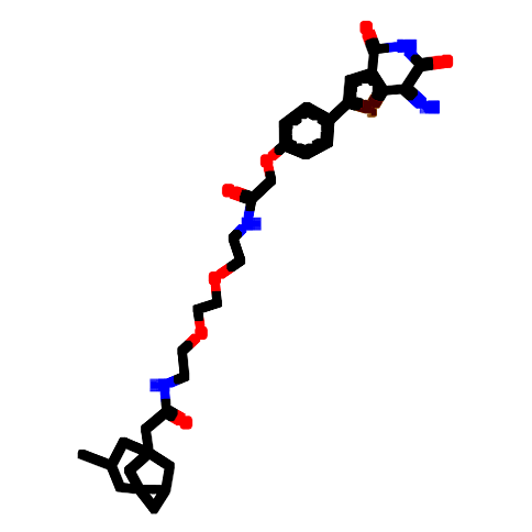 CC1CC2(CC(=O)NCCOCCOCCNC(=O)COc3ccc(-c4cc5c(s4)C(=N)C(=O)NC5=O)cc3)CC3CC3(C1)C2